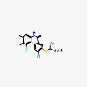 C=C(Nc1cc(C)c(C)c(F)c1)c1ccc(Cl)c(SC(CCCCC)C(C)C)c1